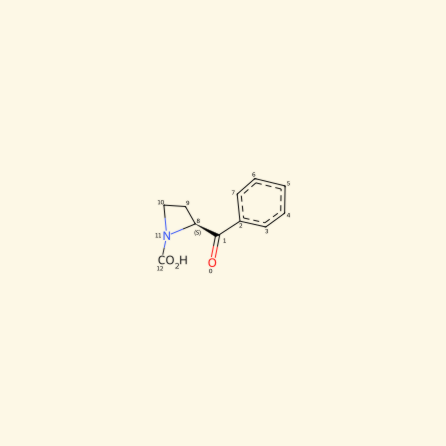 O=C(c1ccccc1)[C@@H]1CCN1C(=O)O